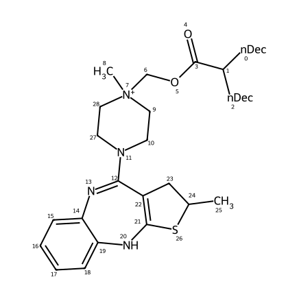 CCCCCCCCCCC(CCCCCCCCCC)C(=O)OC[N+]1(C)CCN(C2=Nc3ccccc3NC3=C2CC(C)S3)CC1